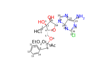 C#C[C@@]1(O)[C@@H](COC(Cc2ccccc2)(C(C)=O)C(=O)OCC)O[C@@H](n2cnc3c(N)nc(Cl)nc32)[C@@H]1O